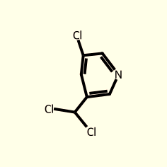 Clc1cncc(C(Cl)Cl)c1